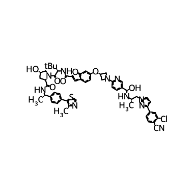 Cc1ncsc1-c1ccc([C@H](C)NC(=O)C2C[C@@H](O)CN2C(=O)[C@@H](NC(=O)c2cc3ccc(OC4CN(c5ccc([C@@H](O)N[C@@H](C)Cn6ccc(-c7ccc(C#N)c(Cl)c7)n6)cn5)C4)cc3o2)C(C)(C)C)cc1